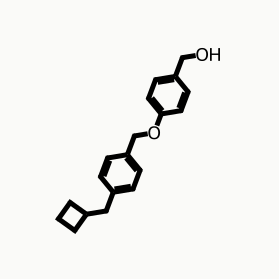 OCc1ccc(OCc2ccc(CC3CCC3)cc2)cc1